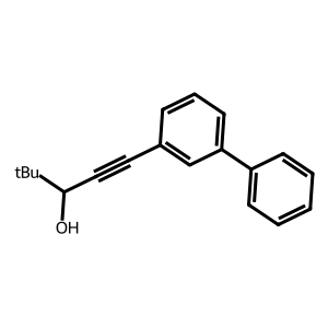 CC(C)(C)C(O)C#Cc1cccc(-c2ccccc2)c1